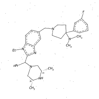 CCCC(c1nc2cc(CN3CCC(c4cccc(F)c4)(N(C)C)CC3)ccc2n1CC)N1C[C@@H](C)N[C@@H](C)C1